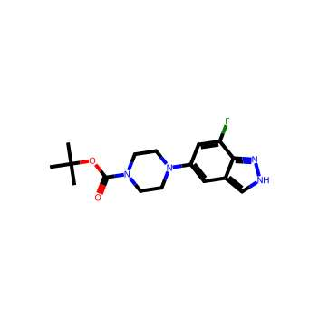 CC(C)(C)OC(=O)N1CCN(c2cc(F)c3n[nH]cc3c2)CC1